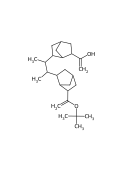 C=C(O)C1CC2CC1C(C(C)C(C)C1CC3CC(C(=C)OC(C)(C)C)C1C3)C2